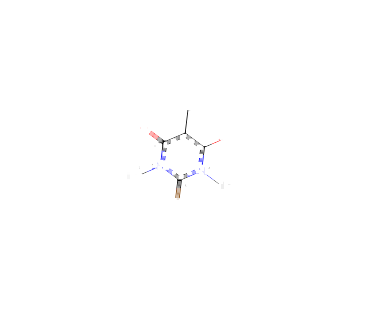 Cc1c(O)n(C(C)C)c(=S)n(C(C)C)c1=O